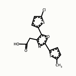 Cc1ccc(-c2nc(CC(=O)O)c(-c3ccc(Cl)s3)o2)s1